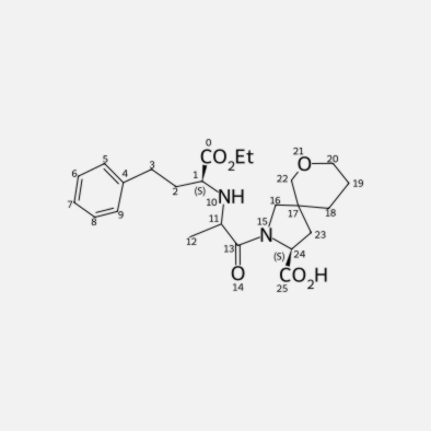 CCOC(=O)[C@H](CCc1ccccc1)NC(C)C(=O)N1CC2(CCCOC2)C[C@H]1C(=O)O